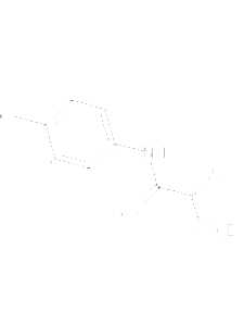 CCOC(=O)C(Cl)C(=O)Nc1ccc(Cl)cc1